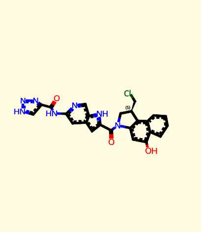 O=C(Nc1cc2cc(C(=O)N3C[C@@H](CCl)c4c3cc(O)c3ccccc43)[nH]c2cn1)c1c[nH]nn1